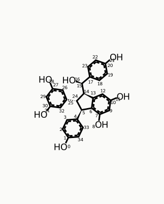 Oc1ccc([C@@H]2c3c(O)cc(O)cc3[C@H]([C@@H](O)c3ccc(O)cc3)[C@H]2c2cc(O)cc(O)c2)cc1